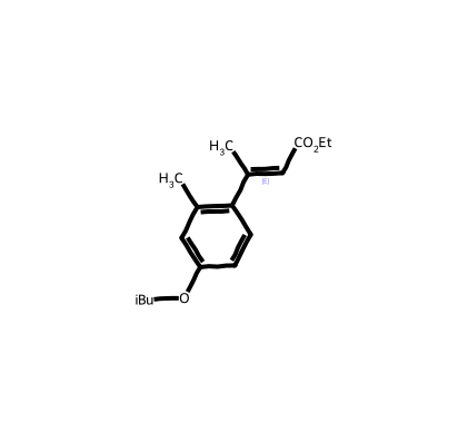 CCOC(=O)/C=C(\C)c1ccc(OC(C)CC)cc1C